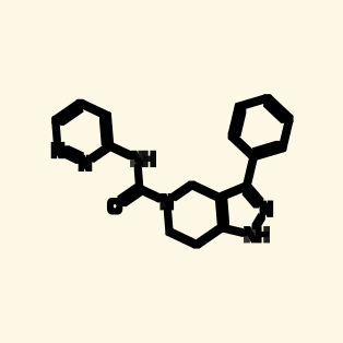 O=C(Nc1cccnn1)N1CCc2[nH]nc(-c3ccccc3)c2C1